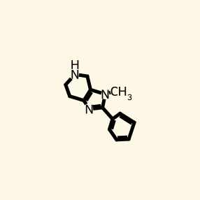 Cn1c(-c2ccccc2)nc2c1CNCC2